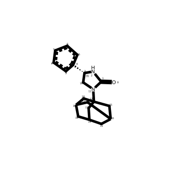 O=C1N[C@@H](c2ccccc2)CN1C12CC3CC(CC(C3)C1)C2